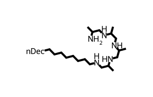 CCCCCCCCCCCCCCCCCCNCC(C)NCC(C)NCC(C)NCC(C)N